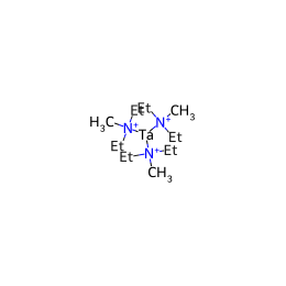 CC[N+](C)(CC)[Ta]([N+](C)(CC)CC)[N+](C)(CC)CC